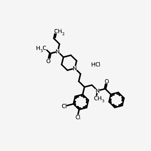 C=CCN(C(C)=O)C1CCN(CCC(CN(C)C(=O)c2ccccc2)c2ccc(Cl)c(Cl)c2)CC1.Cl